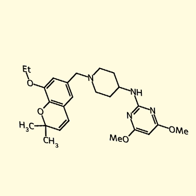 CCOc1cc(CN2CCC(Nc3nc(OC)cc(OC)n3)CC2)cc2c1OC(C)(C)C=C2